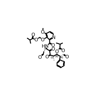 COc1ccnc(C(=O)N[C@@H](CC=O)C(=O)C(=O)[C@@H](C)[C@H](OC(=O)C(C)C)[C@H](C=O)c2ccccc2)c1OCOC(=O)C(C)C